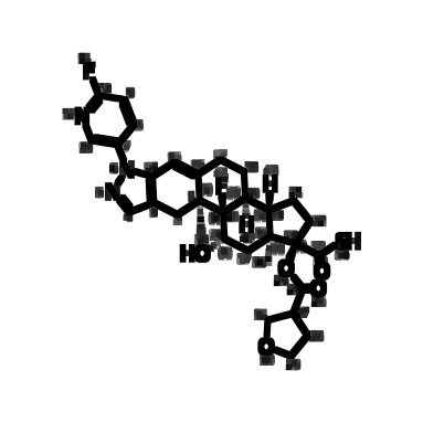 C[C@]12Cc3cnn(-c4ccc(F)nc4)c3C=C1CC[C@H]1[C@@H]3CC[C@](OC(=O)C4CCOC4)(C(=O)S)[C@@]3(C)C[C@H](O)[C@@]12F